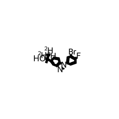 [2H]C([2H])([2H])C(C)(O)c1ccc2c(c1)ncn2-c1ccc(F)c(Br)c1